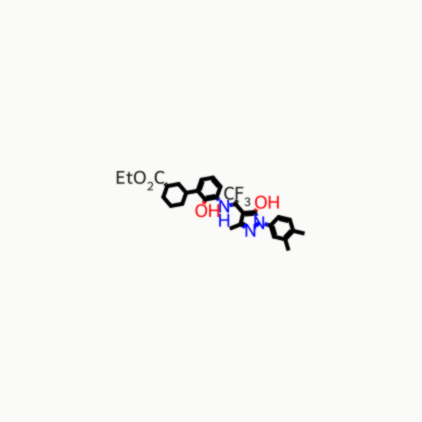 CCOC(=O)C1CCCC(c2cccc(NC(c3c(C)nn(-c4ccc(C)c(C)c4)c3O)C(F)(F)F)c2O)C1